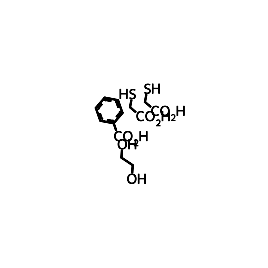 O=C(O)CS.O=C(O)CS.O=C(O)c1ccccc1.OCCO